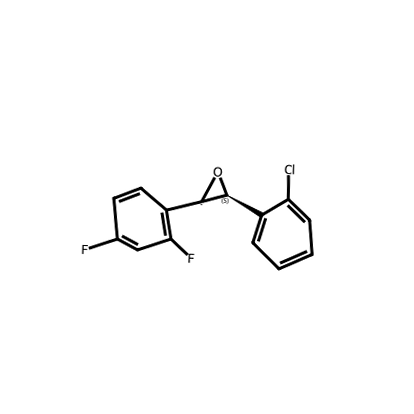 Fc1ccc([C]2O[C@H]2c2ccccc2Cl)c(F)c1